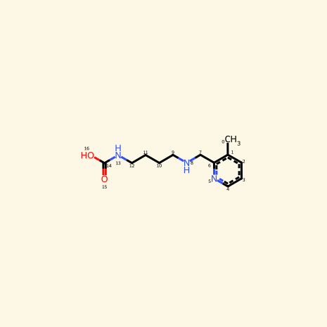 Cc1cccnc1CNCCCCNC(=O)O